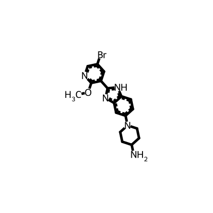 COc1ncc(Br)cc1-c1nc2cc(N3CCC(N)CC3)ccc2[nH]1